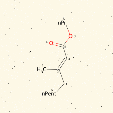 CCCCCC/C(C)=C/C(=O)OCCC